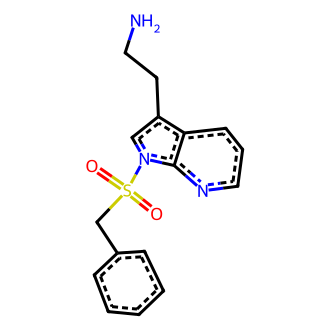 NCCc1cn(S(=O)(=O)Cc2ccccc2)c2ncccc12